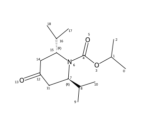 CC(C)OC(=O)N1[C@@H](C(C)C)CC(=O)C[C@@H]1C(C)C